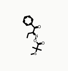 CC/C(=N\OC(=O)C(C)(C)SC)C(=O)c1ccccc1